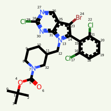 CC(C)(C)OC(=O)N1CCCC(Cn2c(-c3c(Cl)cccc3Cl)c(Br)c3cnc(Cl)nc32)C1